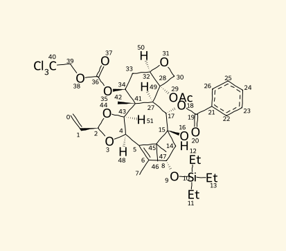 C=C[C@@H]1O[C@@H]2C3=C(C)[C@@H](O[Si](CC)(CC)CC)C[C@@](O)([C@@H](OC(=O)c4ccccc4)[C@@H]4[C@]5(OC(C)=O)CO[C@@H]5C[C@H](OC(=O)OCC(Cl)(Cl)Cl)[C@@]4(C)[C@@H]2O1)C3(C)C